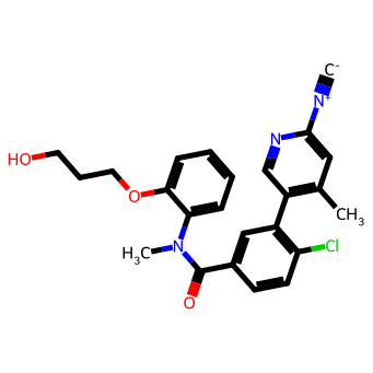 [C-]#[N+]c1cc(C)c(-c2cc(C(=O)N(C)c3ccccc3OCCCO)ccc2Cl)cn1